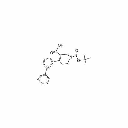 CC(C)(C)OC(=O)N1CCC(c2cccc(-c3ccccc3)c2)=C(C(=O)O)C1